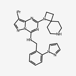 CC(C)c1cnn2c(NCc3ccccc3-n3cccn3)nc(N3CCC34CCNCC4)nc12